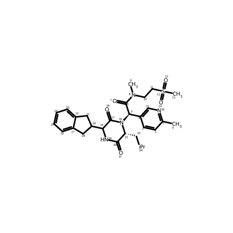 Cc1ccc([C@H](C(=O)N(C)CCS(C)(=O)=O)N2C(=O)C(C3Cc4ccccc4C3)NC(=O)[C@H]2CC(C)C)cn1